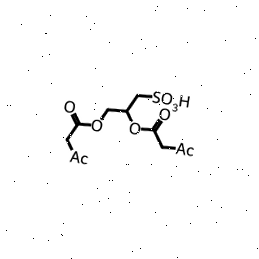 CC(=O)CC(=O)OCC(CS(=O)(=O)O)OC(=O)CC(C)=O